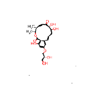 C[C@@H]1OC(=O)c2c(O)cc(OC[C@@H](O)CO)cc2/C=C/C[C@H](O)[C@H](O)C(=O)/C=C\[C@@H]1C